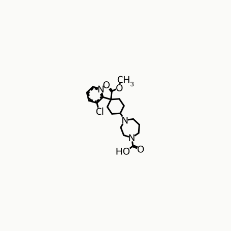 COC(=O)C1(c2ncccc2Cl)CCC(N2CCCN(C(=O)O)CC2)CC1